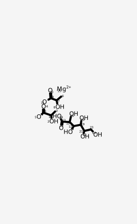 CC(O)C(=O)[O-].CC(O)C(=O)[O-].O=C(O)C(O)C(O)C(O)C(O)CO.[Mg+2]